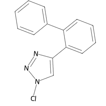 Cln1cc(-c2ccccc2-c2ccccc2)nn1